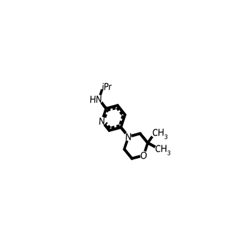 CC(C)Nc1ccc(N2CCOC(C)(C)C2)cn1